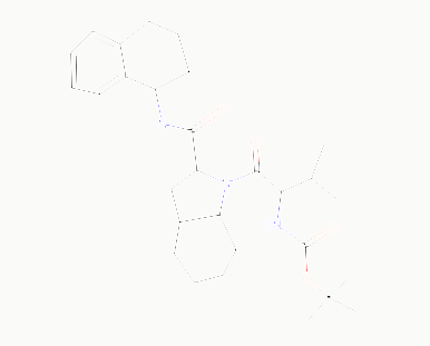 CC(C)C(NC(=O)OC(C)(C)C)C(=O)N1C(C(=O)NC2CCCc3ccccc32)CC2CCCCC21